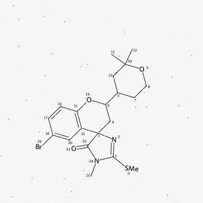 CSC1=NC2(CC(C3CCOC(C)(C)C3)Oc3ccc(Br)cc32)C(=O)N1C